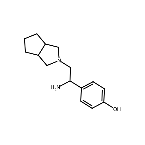 NC(CN1CC2CCCC2C1)c1ccc(O)cc1